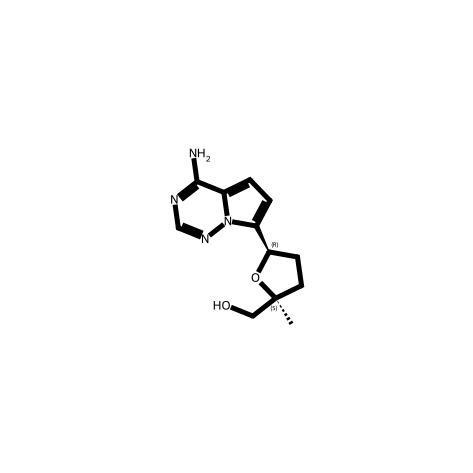 C[C@@]1(CO)CC[C@H](c2ccc3c(N)ncnn23)O1